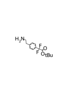 CC(C)(C)OC(=O)C(F)(F)c1ccc(CCN)cc1